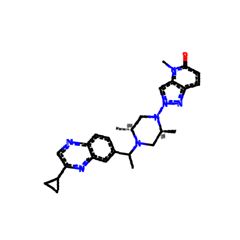 CC(c1ccc2ncc(C3CC3)nc2c1)N1C[C@H](C)N(n2cc3c(ccc(=O)n3C)n2)C[C@H]1C